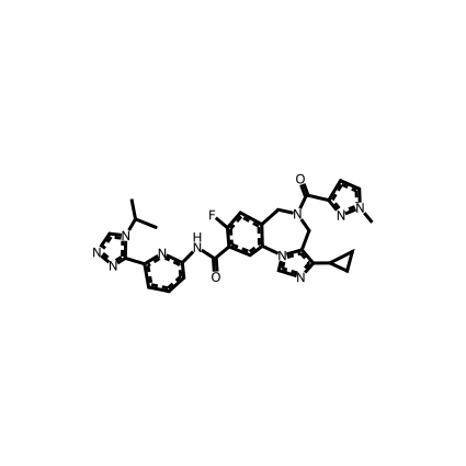 CC(C)n1cnnc1-c1cccc(NC(=O)c2cc3c(cc2F)CN(C(=O)c2ccn(C)n2)Cc2c(C4CC4)ncn2-3)n1